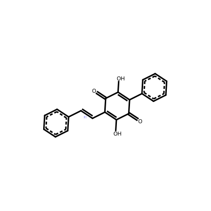 O=C1C(O)=C(c2ccccc2)C(=O)C(O)=C1/C=C/c1ccccc1